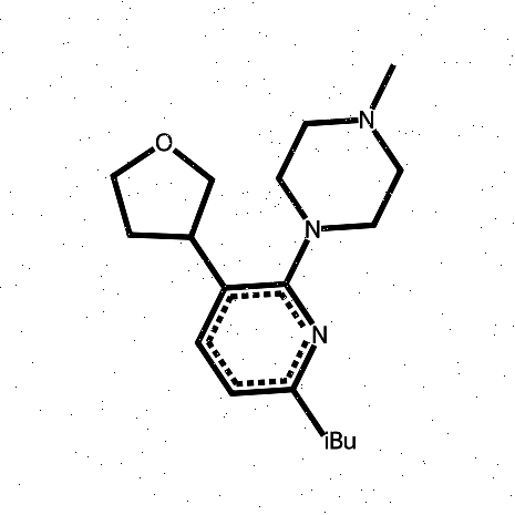 CCC(C)c1ccc(C2CCOC2)c(N2CCN(C)CC2)n1